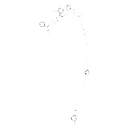 COc1cnc(-n2cnc(C(=O)NC3CC(CO)N(CCCCN4CCN(CCOCCOCCOCCOCc5cn(CCOCCOCCOCCOCCC(=O)Oc6c(F)cc(F)cc6F)nn5)CC4)C3)n2)c2[nH]cc(C(=O)C(=O)N3CCC(=C(C#N)c4ccccc4)CC3)c12